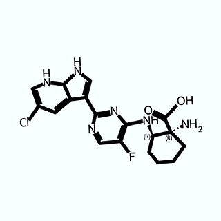 N[C@]1(C(=O)O)CCCC[C@H]1Nc1nc(C2=CNC3NC=C(Cl)C=C23)ncc1F